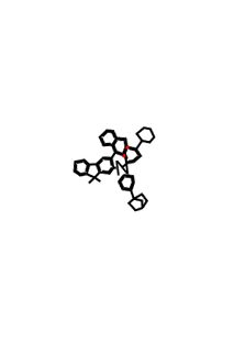 CC1(C)c2ccccc2-c2cc(-c3cccc4ccccc34)c(N(c3ccc(C4CCCCC4)cc3)c3ccc(C45CCC(CC4)C5)cc3)cc21